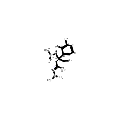 CN(C)/N=C(/C[C@@](CF)(N[S+]([O-])C(C)(C)C)c1cccc(F)c1F)C(F)(F)F